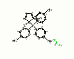 CCCCc1ccc([Si](c2ccc(CCCC)cc2)(c2ccc(CCCC)cc2)[C]2([Ti+3])C=CC=C2CCC)cc1.[Cl-].[Cl-].[Cl-]